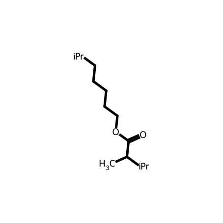 CC(C)CCCCCOC(=O)C(C)C(C)C